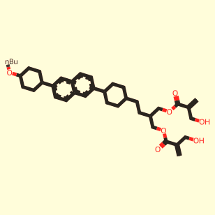 C=C(CO)C(=O)OCC(CCC1CCC(c2ccc3cc(C4CCC(OCCCC)CC4)ccc3c2)CC1)COC(=O)C(=C)CO